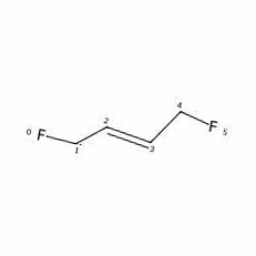 F[CH]C=CCF